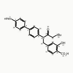 CCCCCCc1ccc(-c2ccc(N(Cc3ccc(C(=O)O)c(O)c3)C(=O)CC(C)(C)C)cc2)cc1